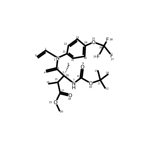 C=CN(C(=C)[C@@](C)(NC(=O)OC(C)(C)C)C(C)C(=O)OC)c1ccc(OC(F)(F)F)cc1